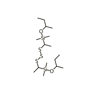 CCC(C)O[Si](C)(C)C(C)SSSC(C)[Si](C)(C)OC(C)CC